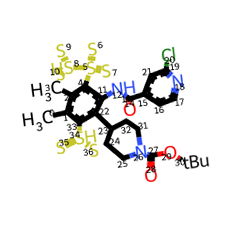 Cc1c(C)c(S(=S)(=S)[SH](=S)=S)c(NC(=O)c2ccnc(Cl)c2)c(C2CCN(C(=O)OC(C)(C)C)CC2)c1[SH](=S)=S